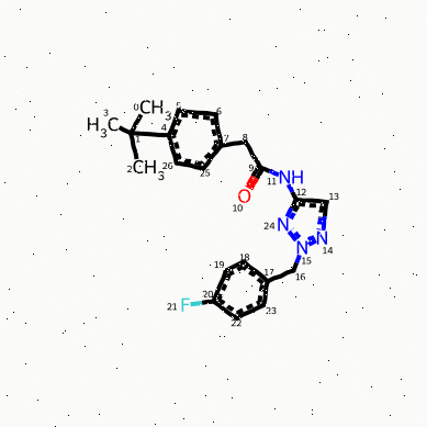 CC(C)(C)c1ccc(CC(=O)Nc2cnn(Cc3ccc(F)cc3)n2)cc1